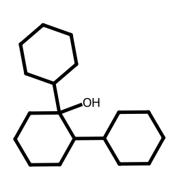 OC1(C2CCCCC2)CCCCC1C1CCCCC1